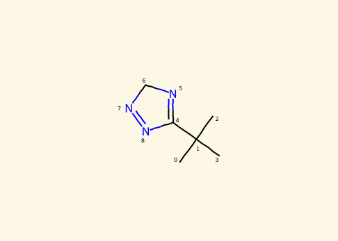 CC(C)(C)C1=NCN=N1